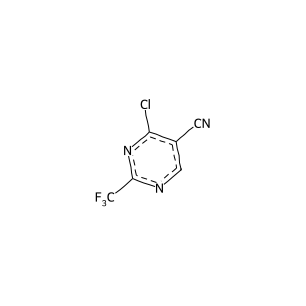 N#Cc1cnc(C(F)(F)F)nc1Cl